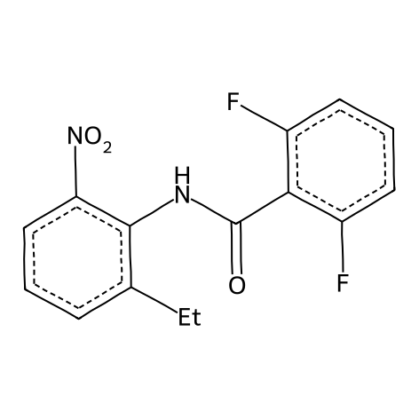 CCc1cccc([N+](=O)[O-])c1NC(=O)c1c(F)cccc1F